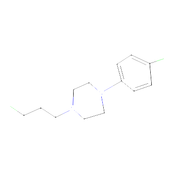 ClCCCN1CCN(c2ccc(Cl)cc2)CC1